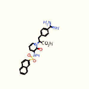 N=C(N)c1ccc(CC(C(=O)O)N2CCCC(NS(=O)(=O)c3ccc4ccccc4c3)C2=O)cc1